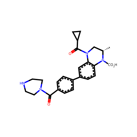 C[C@H]1CN(C(=O)C2CC2)c2cc(-c3ccc(C(=O)N4CCNCC4)cc3)ccc2N1C(=O)O